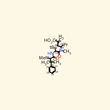 CNC(C(=O)NC(C(=O)N(C)C(/C=C(\C)C(=O)O)C(C)C)C(C)(C)C)C(C)(C)c1ccccc1